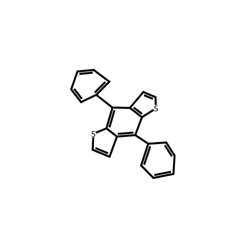 c1ccc(-c2c3ccsc3c(-c3ccccc3)c3ccsc23)cc1